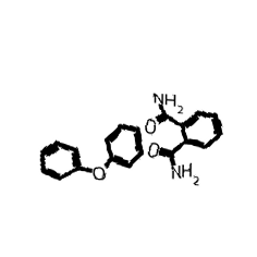 NC(=O)c1ccccc1C(N)=O.c1ccc(Oc2ccccc2)cc1